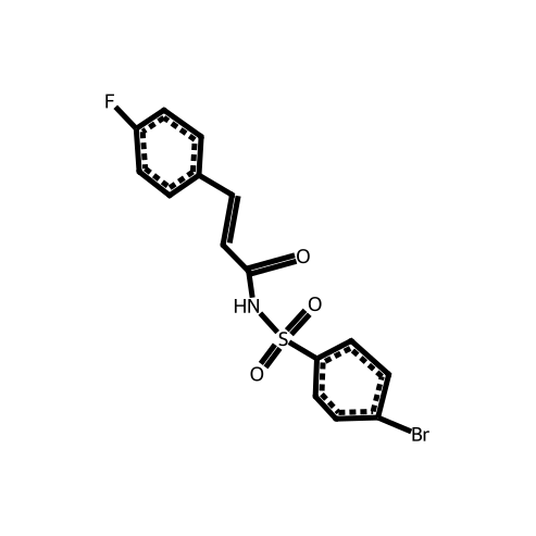 O=C(C=Cc1ccc(F)cc1)NS(=O)(=O)c1ccc(Br)cc1